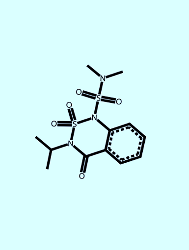 CC(C)N1C(=O)c2ccccc2N(S(=O)(=O)N(C)C)S1(=O)=O